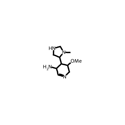 COC1CN=CC(N)C1C1CNCN1C